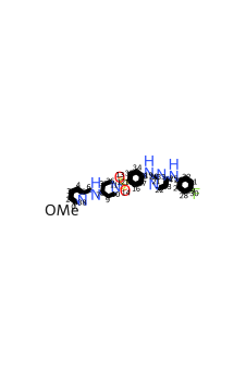 COc1cccc(CNC2CCN(S(=O)(=O)c3ccc(Nc4nccc(Nc5ccc(F)cc5)n4)cc3)CC2)n1